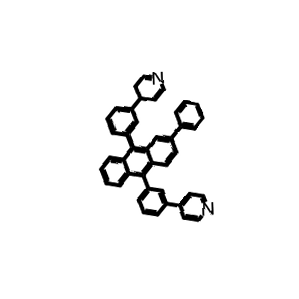 C1=CC(c2cccc(-c3c4ccccc4c(-c4cccc(-c5ccncc5)c4)c4ccc(-c5ccccc5)cc34)c2)CC=N1